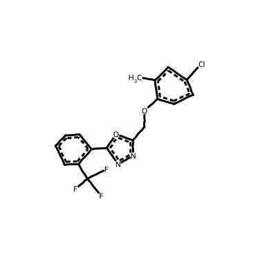 Cc1cc(Cl)ccc1OCc1nnc(-c2ccccc2C(F)(F)F)o1